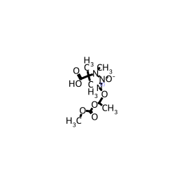 COC(=O)OC(C)O/N=[N+](\[O-])N(C)C(C)(C)C(=O)O